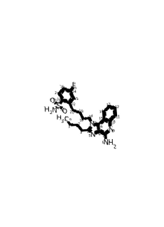 CCCCc1nc2c(N)nc3ccccc3c2n1CCCCc1cc(F)ccc1S(N)(=O)=O